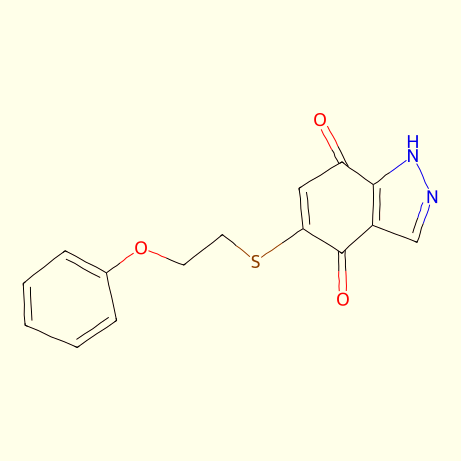 O=C1C(SCCOc2ccccc2)=CC(=O)c2[nH]ncc21